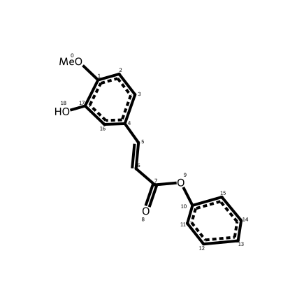 COc1ccc(C=CC(=O)Oc2ccccc2)cc1O